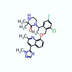 Cc1cc(-c2ncnn2C)c2cccc(OCc3c(Cl)cc(F)cc3C(C)N3CCNC(C)(C)C3=O)c2n1